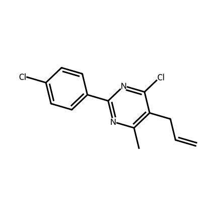 C=CCc1c(C)nc(-c2ccc(Cl)cc2)nc1Cl